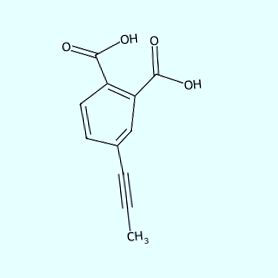 CC#Cc1ccc(C(=O)O)c(C(=O)O)c1